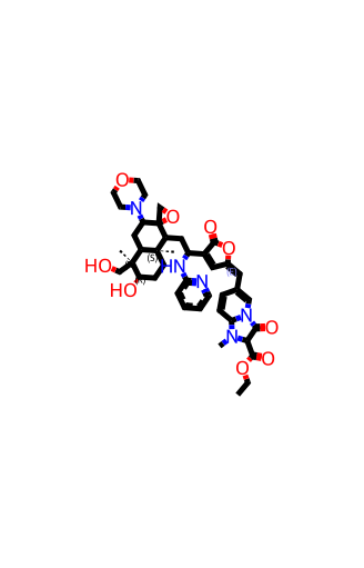 CCOC(=O)C1C(=O)N2C=C(/C=C3\C=C(C(CC4C5(CO5)C(N5CCOCC5)CC5[C@]4(C)CC[C@@H](O)[C@@]5(C)CO)Nc4ccccn4)C(=O)O3)C=CC2N1C